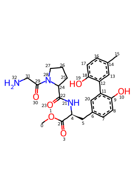 COC(=O)[C@H](Cc1ccc(O)c(-c2cc(C)ccc2O)c1)NC(=O)C1CCCN1C(=O)CN